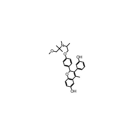 COCC(C)(C)N(C)C(C)COc1ccc(C2Oc3ccc(O)cc3C(C)=C2c2cccc(O)c2)cc1